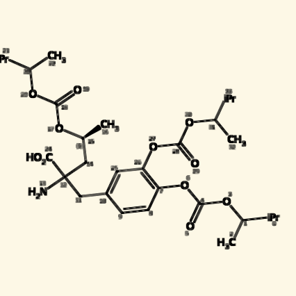 CC(C)C(C)OC(=O)Oc1ccc(CC(N)(C[C@H](C)OC(=O)OC(C)C(C)C)C(=O)O)cc1OC(=O)OC(C)C(C)C